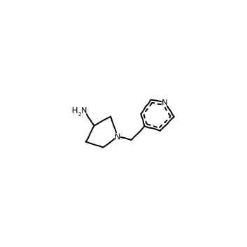 NC1CCN(Cc2ccncc2)C1